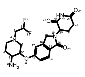 NC1CCN(CC(F)F)CC1Oc1ccc2c(c1)CN(C1CCC(=O)NC1=O)C2=O